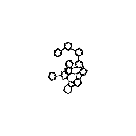 C1=Cc2c(c3ccc4c5ccccc5n(-c5ccccc5-c5cccc(-c6cccc(-c7cccc(-c8ccccc8)c7)c6)c5)c4c3n2-c2nc(-c3ccccc3)nc(-c3ccccc3)n2)CC1